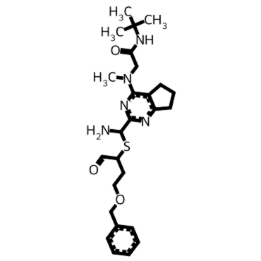 CN(CC(=O)NC(C)(C)C)c1nc(C(N)SC(C=O)CCOCc2ccccc2)nc2c1CCC2